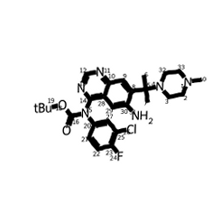 CN1CCN(C(C)(C)c2cc3ncnc(N(C(=O)OC(C)(C)C)c4ccc(F)c(Cl)c4)c3cc2N)CC1